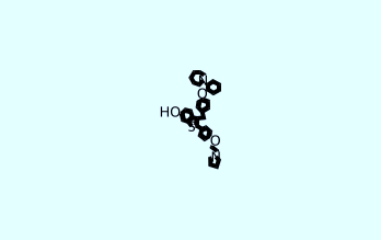 Oc1ccc2c(Cc3ccc(O[C@@H]4CCCC[C@H]4N4CCCCCC4)cc3)c(-c3ccc(OCCN4CCCC4)cc3)sc2c1